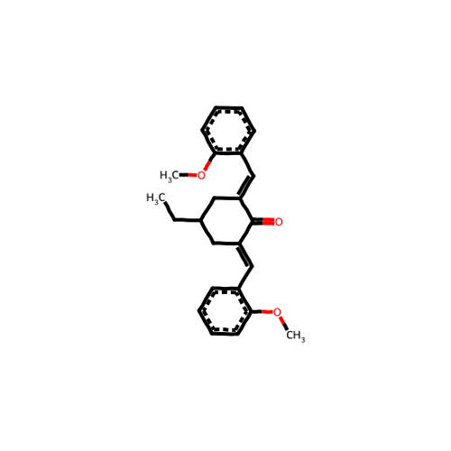 CCC1C/C(=C\c2ccccc2OC)C(=O)/C(=C/c2ccccc2OC)C1